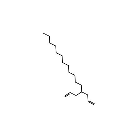 C=CC[C](CC=C)CCCCCCCCCCCC